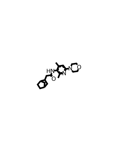 Cc1cc(N2CCOCC2)nc(C)c1NC(=O)CC1CC2CCC1C2